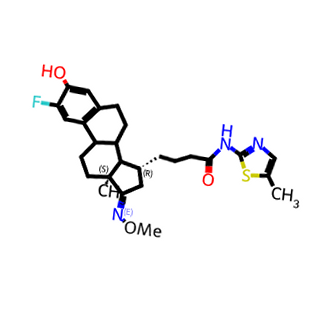 CO/N=C1\C[C@@H](CCCC(=O)Nc2ncc(C)s2)C2C3CCc4cc(O)c(F)cc4C3CC[C@]12C